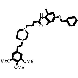 COc1cc(CCN2CCCN(CCCC(=O)Nc3c(C)cc(OCc4ccccc4)cc3C)CC2)cc(OC)c1OC